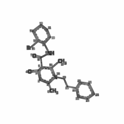 Cc1cc(=O)c(C(=O)Nc2ccccc2Br)c(C)n1CCc1ccccc1